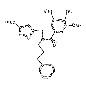 CCOC(=O)c1cc(CN(CCCc2ccccc2)C(=O)c2cc(OC)c(C)c(OC)c2)on1